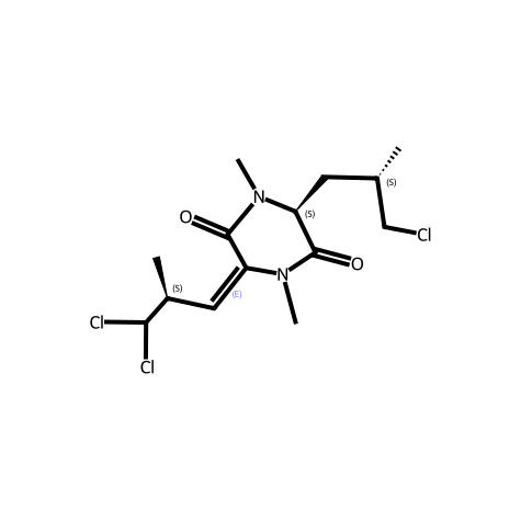 C[C@H](CCl)C[C@H]1C(=O)N(C)/C(=C/[C@H](C)C(Cl)Cl)C(=O)N1C